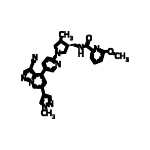 COc1cccc(C(=O)NC[C@@H]2CN(c3ccc(-c4cc(-c5cnn(C)c5)cn5ncc(C#N)c45)cn3)CC2C)n1